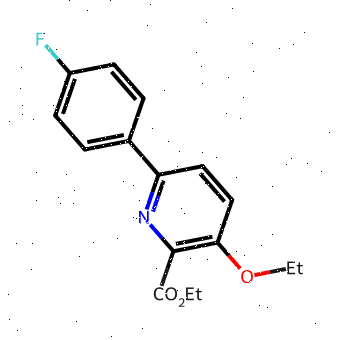 CCOC(=O)c1nc(-c2ccc(F)cc2)ccc1OCC